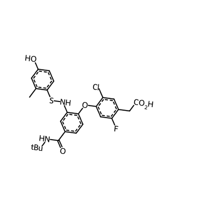 Cc1cc(O)ccc1SNc1cc(C(=O)NC(C)(C)C)ccc1Oc1cc(F)c(CC(=O)O)cc1Cl